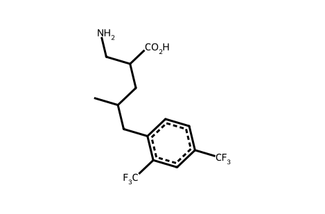 CC(Cc1ccc(C(F)(F)F)cc1C(F)(F)F)CC(CN)C(=O)O